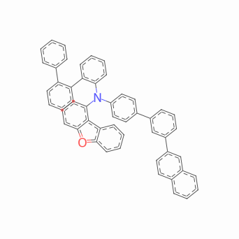 c1ccc(-c2ccccc2-c2ccccc2N(c2ccc(-c3cccc(-c4ccc5ccccc5c4)c3)cc2)c2cccc3oc4ccccc4c23)cc1